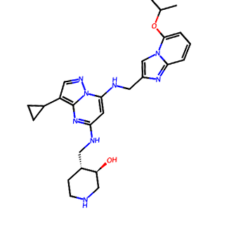 CC(C)Oc1cccc2nc(CNc3cc(NC[C@H]4CCNC[C@@H]4O)nc4c(C5CC5)cnn34)cn12